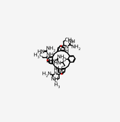 CCC(NC(=N)N)Oc1c2cccc1Cc1cccc(c1OC(CC)NC(=N)N)Cc1cccc(c1OC(CC)NC(=N)N)Cc1cccc(c1OC(CC)NC(=N)N)C2